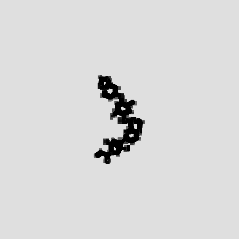 C=CC(=O)N1C[C@@H]2C[C@H]1C[C@H]2c1ccc2ncnc(Nc3cc(C)c(Oc4ccn5ncnc5c4)cc3F)c2n1